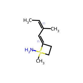 C/C=C(C)\C=C1/CCS1(C)N